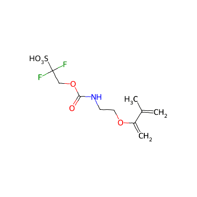 C=C(C)C(=C)OCCNC(=O)OCC(F)(F)S(=O)(=O)O